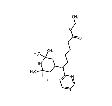 CCOC(=O)CCCCN(c1ncncn1)C1CC(C)(C)NC(C)(C)C1